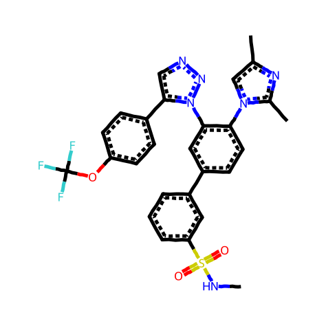 CNS(=O)(=O)c1cccc(-c2ccc(-n3cc(C)nc3C)c(-n3nncc3-c3ccc(OC(F)(F)F)cc3)c2)c1